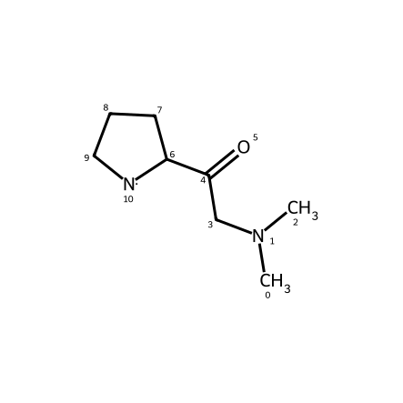 CN(C)CC(=O)C1CCC[N]1